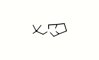 CC(C)(C)CN1CC2CCC(C1)N2